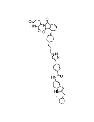 C[C@H]1CCCN1Cc1nc2cc(NC(=O)c3ccc(-c4cn(CCCC5CCN(c6cccc7c6C(=O)N(C6CCC(=O)NC6=O)C7=O)CC5)nn4)cc3)ccc2[nH]1